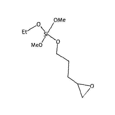 CCO[Si](OC)(OC)OCCCC1CO1